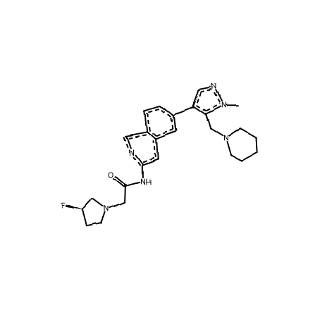 Cn1ncc(-c2ccc3cnc(NC(=O)CN4CC[C@@H](F)C4)cc3c2)c1CN1CCCCC1